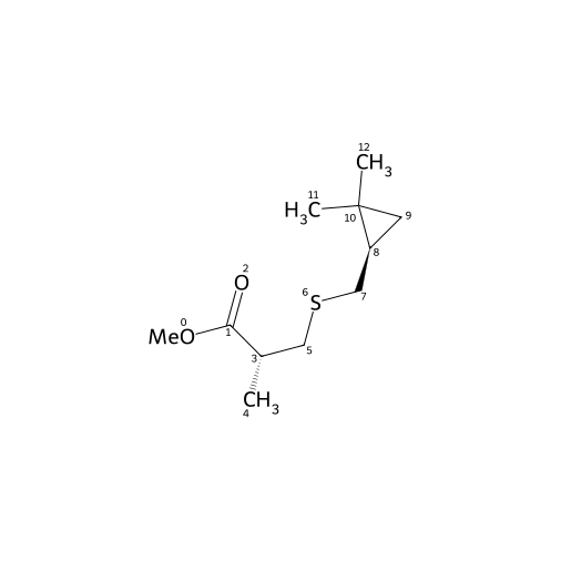 COC(=O)[C@@H](C)CSC[C@@H]1CC1(C)C